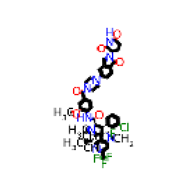 [CH2]N1C[C@]2(c3cnc(C(F)(F)F)cc31)[C@H](CC(C)(C)C)N(C)[C@@H](C(=O)Nc1ccc(C(=O)N3CCN(c4ccc5c(c4)CN(C4CCC(=O)NC4=O)C5=O)CC3)cc1OC)[C@@H]2c1cccc(Cl)c1F